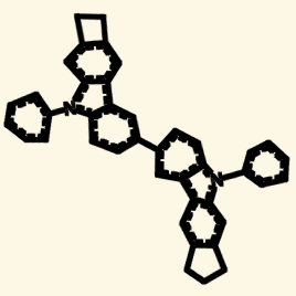 c1ccc(-n2c3ccc(-c4ccc5c(c4)c4cc6c(cc4n5-c4ccccc4)CC6)cc3c3cc4c(cc32)CCC4)cc1